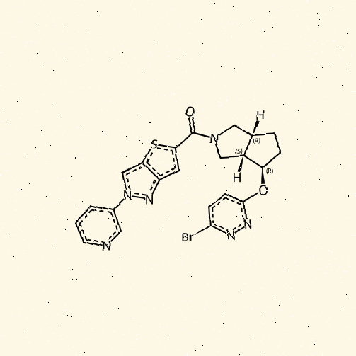 O=C(c1cc2nn(-c3cccnc3)cc2s1)N1C[C@@H]2CC[C@@H](Oc3ccc(Br)nn3)[C@@H]2C1